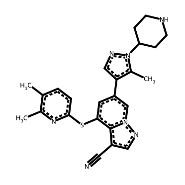 Cc1ccc(Sc2cc(-c3cnn(C4CCNCC4)c3C)cn3ncc(C#N)c23)nc1C